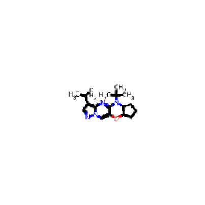 CC(C)c1cnn2cc3c(nc12)N(C(C)(C)C)C1CCCC1O3